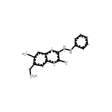 Cc1cc2nc(NNc3ccccc3)c(Cl)nc2cc1CC(=O)O